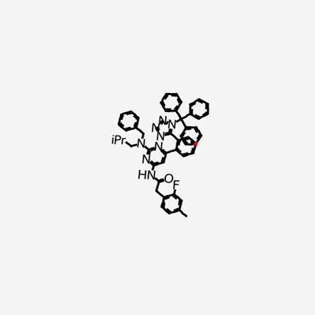 Cc1ccc(CC(=O)Nc2cc(-c3ccccc3-c3nnnn3C(c3ccccc3)(c3ccccc3)c3ccccc3)nc(N(Cc3ccccc3)CC(C)C)n2)c(F)c1